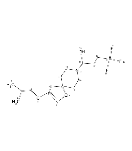 CC(C)COC1=NOC2(CCN(C(O)CCC(F)(F)F)CC2)C1